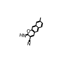 Cc1ccc2cc3cc(C#N)c(=N)oc3cc2c1